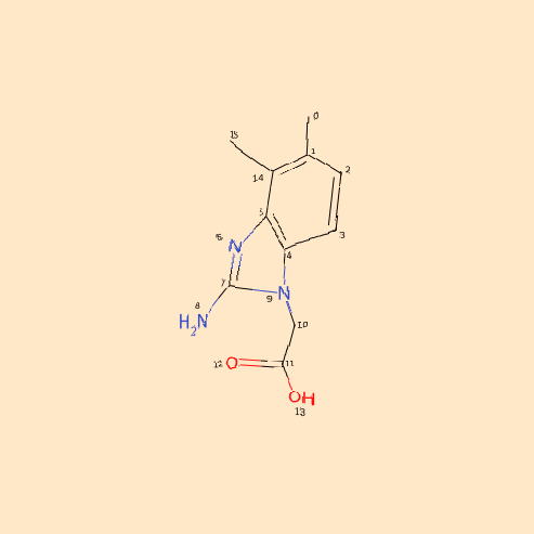 Cc1ccc2c(nc(N)n2CC(=O)O)c1C